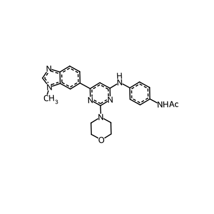 CC(=O)Nc1ccc(Nc2cc(-c3ccc4ncn(C)c4c3)nc(N3CCOCC3)n2)cc1